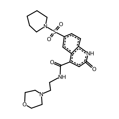 O=C(NCCN1CCOCC1)c1cc(=O)[nH]c2ccc(S(=O)(=O)N3CCCCC3)cc12